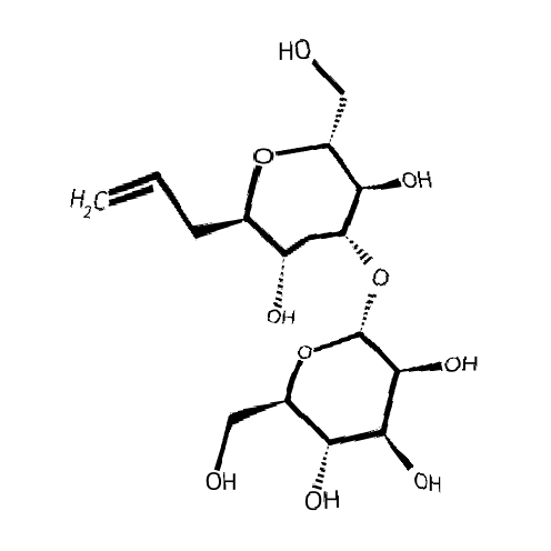 C=CC[C@H]1O[C@H](CO)[C@@H](O)[C@H](O[C@H]2O[C@H](CO)[C@@H](O)[C@H](O)[C@@H]2O)[C@@H]1O